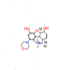 CN1CC[C@]23c4c5c(N6CCOCC6)cc(O)c4O[C@H]2[C@@H](O)C=C[C@H]3[C@H]1C5